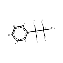 FC(F)(F)C(F)(F)c1[c]nncn1